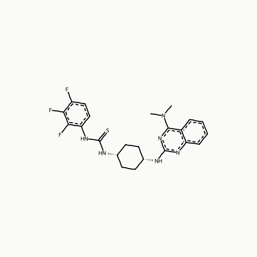 CN(C)c1nc(N[C@H]2CC[C@@H](NC(=S)Nc3ccc(F)c(F)c3F)CC2)nc2ccccc12